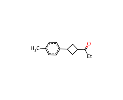 CCC(=O)C1CC(c2ccc(C)cc2)C1